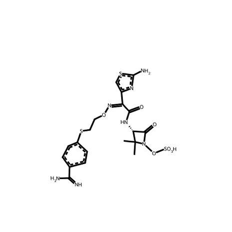 CC1(C)[C@H](NC(=O)C(=NOCCSc2ccc(C(=N)N)cc2)c2csc(N)n2)C(=O)N1OS(=O)(=O)O